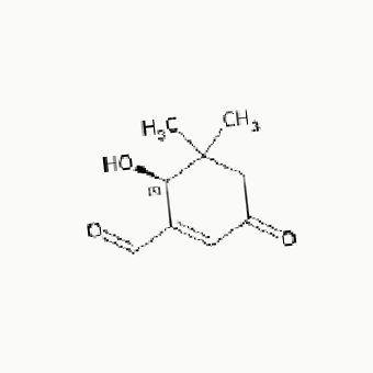 CC1(C)CC(=O)C=C(C=O)[C@H]1O